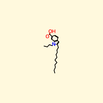 CCCCCCCCCCCc1cc2ccc(C(=O)O)cc2n1CCCC